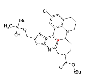 CC(C)(C)OC(=O)N1CCCC(N2CCCc3cc(Cl)cc(-c4ccnc5cc(CO[Si](C)(C)C(C)(C)C)sc45)c32)CC1